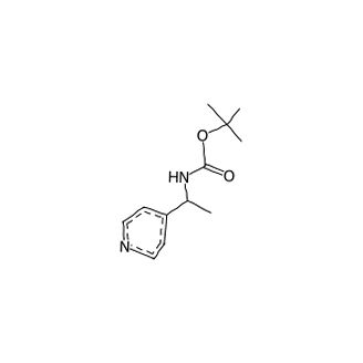 CC(NC(=O)OC(C)(C)C)c1ccncc1